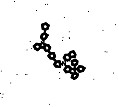 c1ccc(-c2ccc(-n3c4ccccc4c4cc(-c5ccc(-c6cccc(N(c7ccc8c(c7)C(c7ccccc7)(c7ccccc7)c7ccccc7-8)c7ccc8ccccc8c7)c6)cc5)ccc43)cc2)cc1